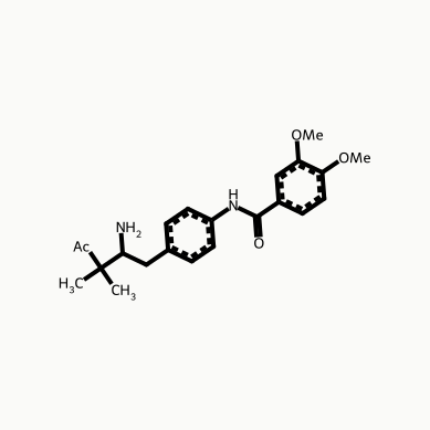 COc1ccc(C(=O)Nc2ccc(CC(N)C(C)(C)C(C)=O)cc2)cc1OC